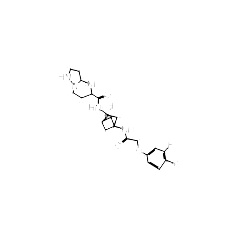 O=C(COc1ccc(Cl)c(F)c1)NC12CC(C1)[C@@H](NC(=O)C1CCN3NCCC3N1)C2